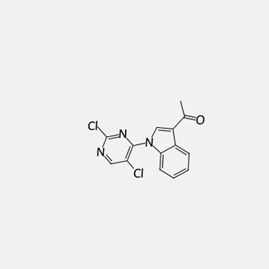 CC(=O)c1cn(-c2nc(Cl)ncc2Cl)c2ccccc12